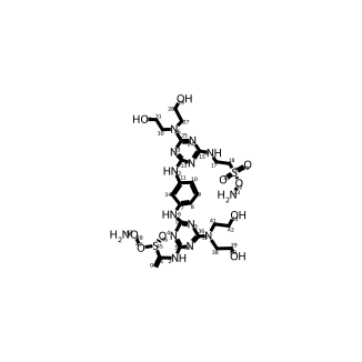 C=C(Nc1nc(Nc2cccc(Nc3nc(NCCS(=O)(=O)ON)nc(N(CCO)CCO)n3)c2)nc(N(CCO)CCO)n1)S(=O)OON